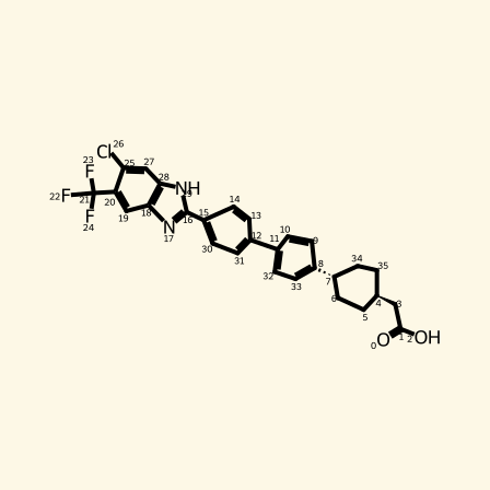 O=C(O)C[C@H]1CC[C@H](c2ccc(-c3ccc(-c4nc5cc(C(F)(F)F)c(Cl)cc5[nH]4)cc3)cc2)CC1